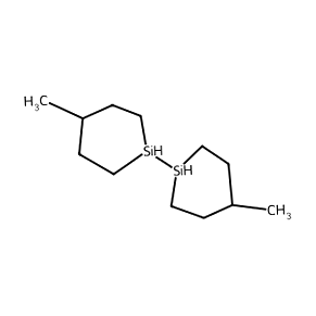 CC1CC[SiH]([SiH]2CCC(C)CC2)CC1